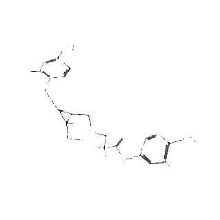 CCC12CCN(CC(C)(O)C(=O)Nc3cnc(C#N)c(C(F)(F)F)c3)CC1C2Cc1ccc(C#N)cc1F